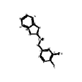 Fc1ccc(CNC2Cc3ccccc3C2)cc1F